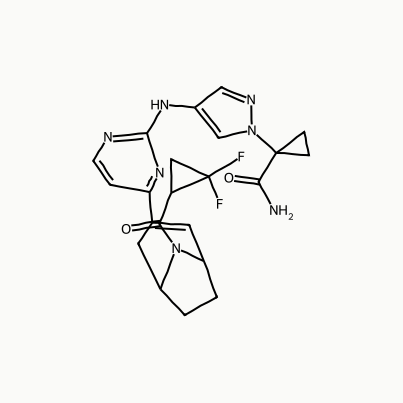 NC(=O)C1(n2cc(Nc3nccc(C4=CC5CCC(C4)N5C(=O)C4CC4(F)F)n3)cn2)CC1